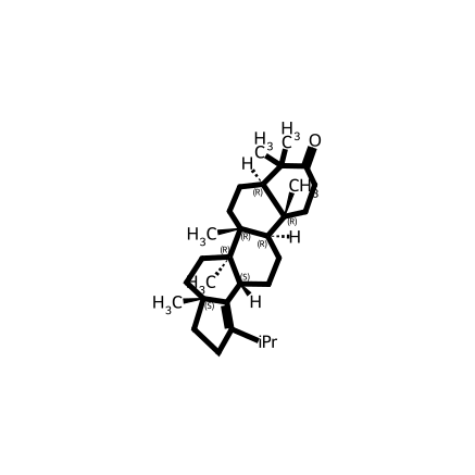 CC(C)C1=C2[C@H]3CC[C@@H]4[C@@]5(C)CCC(=O)C(C)(C)[C@@H]5CC[C@@]4(C)[C@]3(C)CC[C@@]2(C)CC1